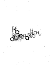 CC(=O)Nc1nc2c(Oc3cc(-c4ccc(C(F)(F)F)cc4NC(=O)C4(C)CCCCN4)ncn3)cccc2s1